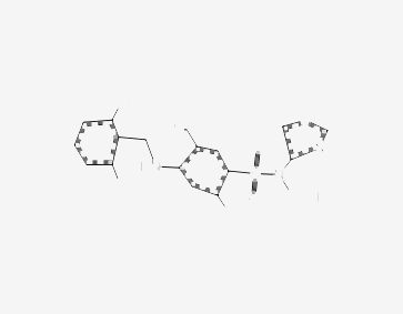 Cc1cccc(Cl)c1CNc1cc(F)c(S(=O)(=O)N(C(=O)O)c2cscn2)cc1Cl